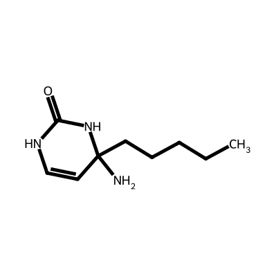 CCCCCC1(N)C=CNC(=O)N1